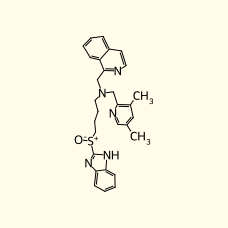 Cc1cnc(CN(CCCC[S+]([O-])c2nc3ccccc3[nH]2)Cc2nccc3ccccc23)c(C)c1